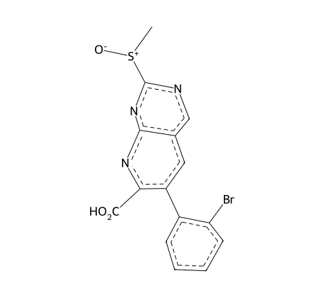 C[S+]([O-])c1ncc2cc(-c3ccccc3Br)c(C(=O)O)nc2n1